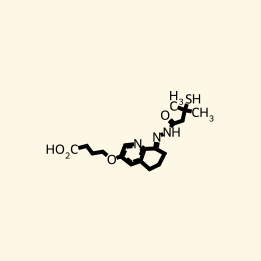 CC(C)(S)CC(=O)N/N=C1\CCCc2cc(OCCCC(=O)O)cnc21